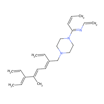 C=C/N=C(\C=C/C)N1CCN(C/C(C=C)=C/C=C(C)/C(C=C)=C/C)CC1